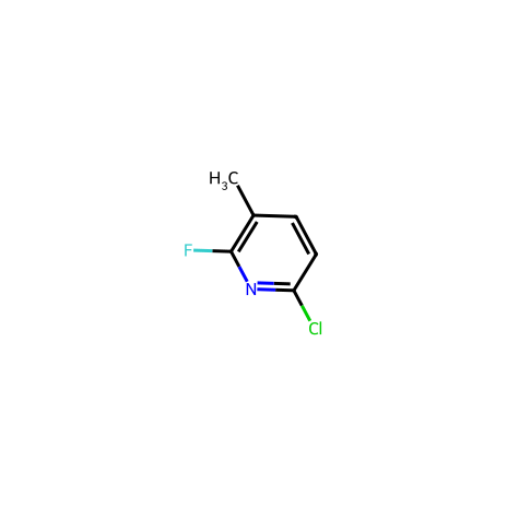 Cc1ccc(Cl)nc1F